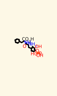 N[C@@H](Cc1ccc(OP(=O)(O)O)c(O)c1)C(=O)N[C@@H](Cc1ccccc1)C(=O)O